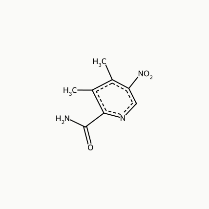 Cc1c([N+](=O)[O-])cnc(C(N)=O)c1C